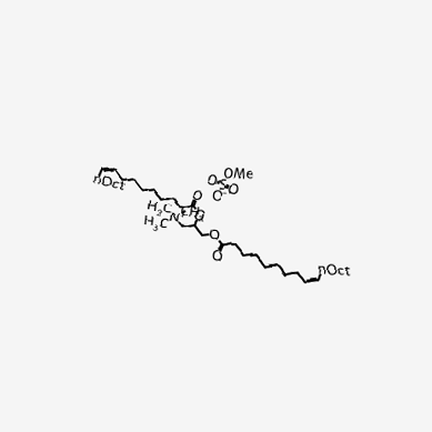 CCCCCCCC/C=C\CCCCCCCC(=O)OCC(C[N+](C)(C)C)OC(=O)CCCCCCC/C=C\CCCCCCCC.COS(=O)(=O)[O-]